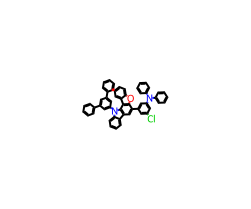 Clc1cc(-c2cc3c4ccccc4n(-c4cc(-c5ccccc5)cc(-c5ccccc5)c4)c3c3c2oc2ccccc23)cc(N(c2ccccc2)c2ccccc2)c1